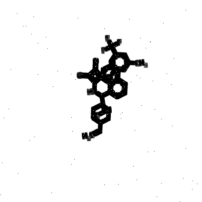 C=CC1CN2CCC1CC2C(Nc1c(Nc2cc(C)cc(C(F)(F)F)c2)c(=O)c1=O)c1cccc2ccccc12